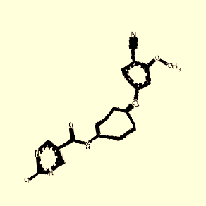 COc1cc(OC2CCC(NC(=O)c3cnc(Cl)nc3)CC2)ccc1C#N